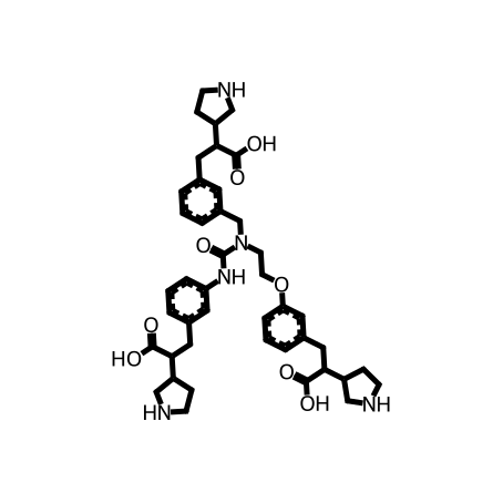 O=C(O)C(Cc1cccc(CN(CCOc2cccc(CC(C(=O)O)C3CCNC3)c2)C(=O)Nc2cccc(CC(C(=O)O)C3CCNC3)c2)c1)C1CCNC1